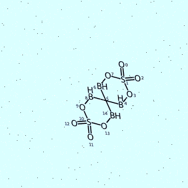 O=S1(=O)OBC2(BO1)BOS(=O)(=O)OB2